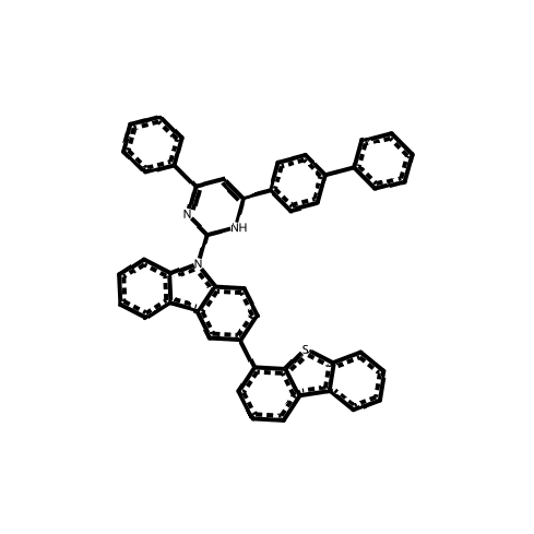 C1=C(c2ccc(-c3ccccc3)cc2)NC(n2c3ccccc3c3cc(-c4cccc5c4sc4ccccc45)ccc32)N=C1c1ccccc1